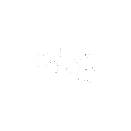 COc1cc(C(=O)N(N)c2ccccc2)cc(OC)c1OC.Cl